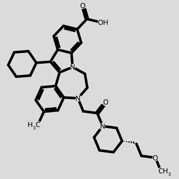 COCC[C@@H]1CCCN(C(=O)CN2CCn3c(c(C4CCCCC4)c4ccc(C(=O)O)cc43)-c3ccc(C)cc32)C1